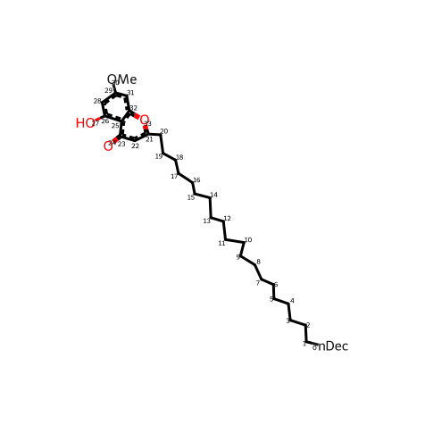 CCCCCCCCCCCCCCCCCCCCCCCCCCCCCCc1cc(=O)c2c(O)cc(OC)cc2o1